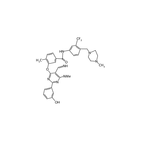 CNc1nc(-c2cccc(O)c2)nc(Oc2cc(C(=O)Nc3ccc(CN4CCN(C)CC4)c(C(F)(F)F)c3)ccc2C)c1C=N